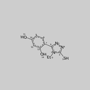 CCn1c(S)nnc1-c1ccc(O)cc1O